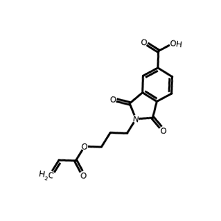 C=CC(=O)OCCCN1C(=O)c2ccc(C(=O)O)cc2C1=O